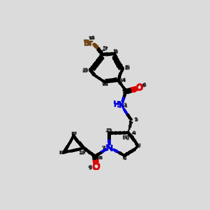 O=C(NC[C@@H]1CCN(C(=O)C2CC2)C1)c1ccc(Br)cc1